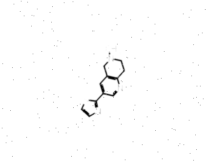 CN1CCc2ncc(-c3nccs3)cc2C1